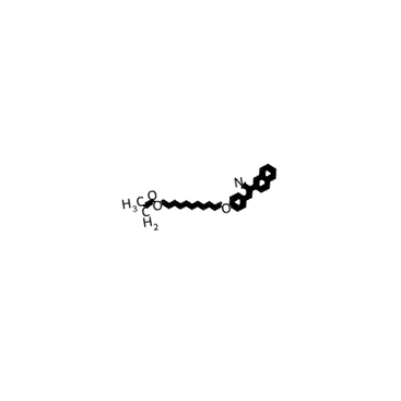 C=C(C)C(=O)OCCCCCCCCCCCOc1ccc(/C=C(\C#N)c2ccc3ccccc3c2)cc1